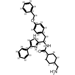 NCC1CCC(C(=O)NC(Cc2ccc(OCc3ccccc3)cc2)c2nc(-c3ccccc3)c[nH]2)CC1